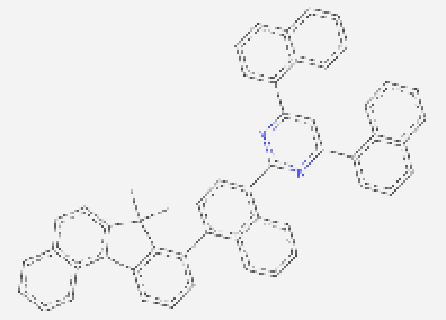 CC1(C)c2ccc3ccccc3c2-c2cccc(-c3ccc(-c4nc(-c5cccc6ccccc56)cc(-c5cccc6ccccc56)n4)c4ccccc34)c21